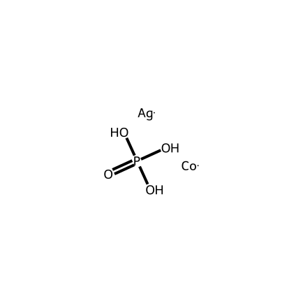 O=P(O)(O)O.[Ag].[Co]